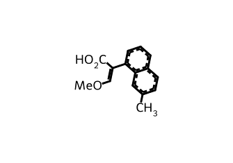 COC=C(C(=O)O)c1cccc2ccc(C)cc12